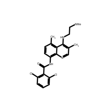 CNCCNc1c(C)cnc2c(NC(=O)c3c(Cl)cccc3Cl)ccc(C)c12